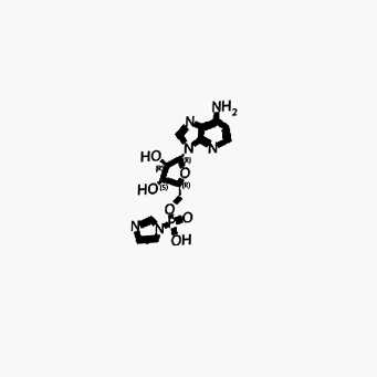 Nc1ccnc2c1ncn2[C@@H]1O[C@H](COP(=O)(O)n2ccnc2)[C@@H](O)[C@H]1O